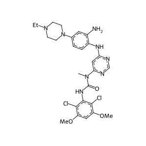 CCN1CCN(c2ccc(Nc3cc(N(C)C(=O)Nc4c(Cl)c(OC)cc(OC)c4Cl)ncn3)c(N)c2)CC1